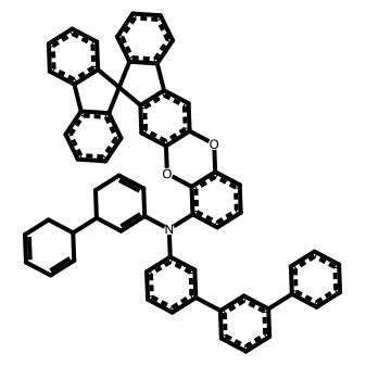 C1=CCC(C2C=C(N(c3cccc(-c4cccc(-c5ccccc5)c4)c3)c3cccc4c3Oc3cc5c(cc3O4)-c3ccccc3C53c4ccccc4-c4ccccc43)C=CC2)C=C1